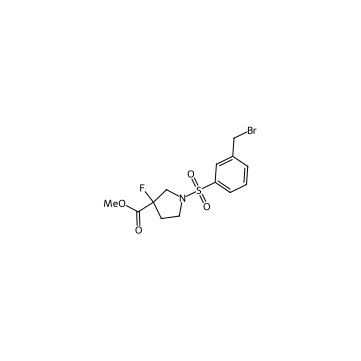 COC(=O)C1(F)CCN(S(=O)(=O)c2cccc(CBr)c2)C1